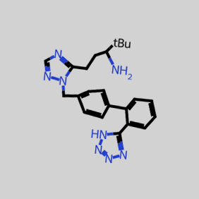 CC(C)(C)C(N)CCc1ncnn1Cc1ccc(-c2ccccc2-c2nnn[nH]2)cc1